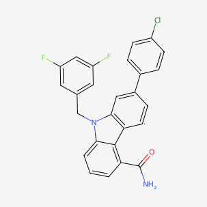 NC(=O)c1cccc2c1c1[c]cc(-c3ccc(Cl)cc3)cc1n2Cc1cc(F)cc(F)c1